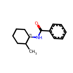 CC1CCCC[C@H]1NC(=O)c1ccccc1